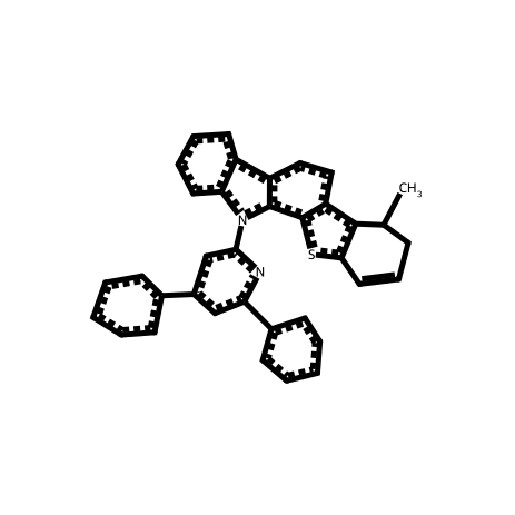 CC1CC=Cc2sc3c(ccc4c5ccccc5n(-c5cc(-c6ccccc6)cc(-c6ccccc6)n5)c43)c21